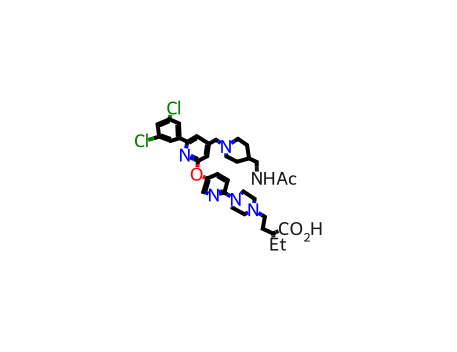 CCC(CCN1CCN(c2ccc(Oc3cc(CN4CCC(CNC(C)=O)CC4)cc(-c4cc(Cl)cc(Cl)c4)n3)cn2)CC1)C(=O)O